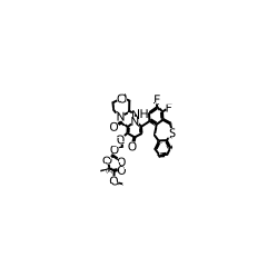 COC(=O)[C@@H](C)OC(=O)OCOc1c2n(c(-c3cc(F)c(F)c4c3Cc3ccccc3SC4)cc1=O)NC1COCCN1C2=O